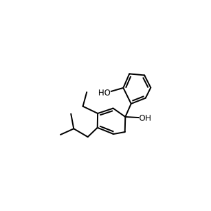 CCC1=CC(O)(c2ccccc2O)CC=C1CC(C)C